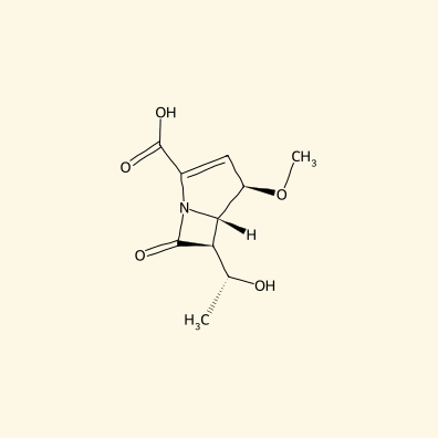 CO[C@@H]1C=C(C(=O)O)N2C(=O)[C@H]([C@@H](C)O)[C@@H]12